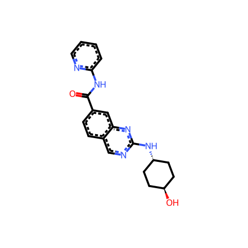 O=C(Nc1ccccn1)c1ccc2cnc(N[C@H]3CC[C@H](O)CC3)nc2c1